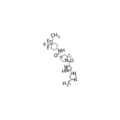 CCOC1(C(F)(F)F)CCC(NC(=O)[C@H]2CCN(C(=O)c3cc(-c4cc(C)ncn4)[nH]n3)C3(CC3)C2)CC1